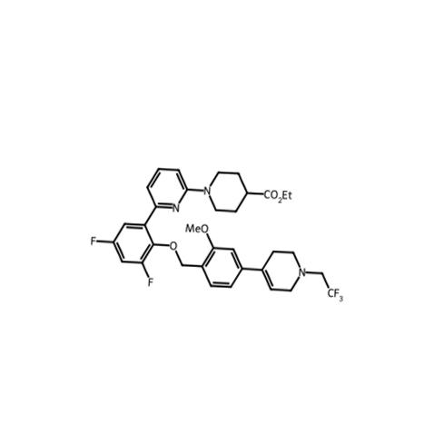 CCOC(=O)C1CCN(c2cccc(-c3cc(F)cc(F)c3OCc3ccc(C4=CCN(CC(F)(F)F)CC4)cc3OC)n2)CC1